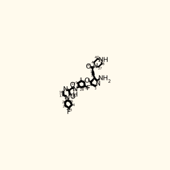 Nc1nccc(Oc2ccc(NC(=O)c3nccn(-c4ccc(F)cc4)c3=O)cc2F)c1C#CC(=O)N1CCNCC1